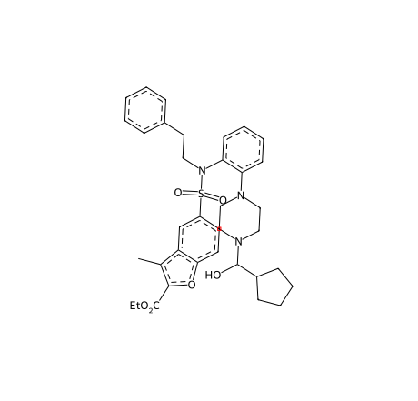 CCOC(=O)c1oc2ccc(S(=O)(=O)N(CCc3ccccc3)c3ccccc3N3CCN(C(O)C4CCCC4)CC3)cc2c1C